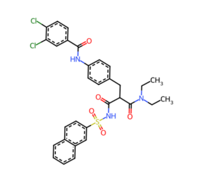 CCN(CC)C(=O)C(Cc1ccc(NC(=O)c2ccc(Cl)c(Cl)c2)cc1)C(=O)NS(=O)(=O)c1ccc2ccccc2c1